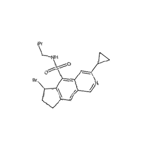 CC(C)CNS(=O)(=O)c1c2c(cc3cnc(C4CC4)cc13)CCC2Br